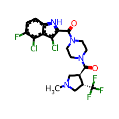 CN1C[C@@H](C(F)(F)F)[C@H](C(=O)N2CCN(C(=O)c3[nH]c4ccc(F)c(Cl)c4c3Cl)CC2)C1